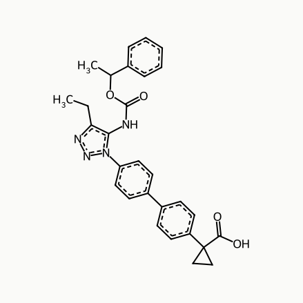 CCc1nnn(-c2ccc(-c3ccc(C4(C(=O)O)CC4)cc3)cc2)c1NC(=O)OC(C)c1ccccc1